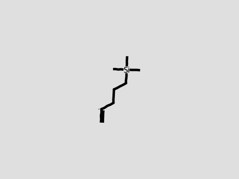 C=[C]CCC[Si](C)(C)C